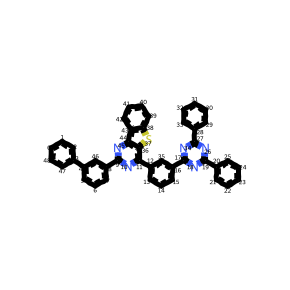 c1ccc(-c2cccc(-c3nc(-c4cccc(-c5nc(-c6ccccc6)nc(-c6ccccc6)n5)c4)c4sc5ccccc5c4n3)c2)cc1